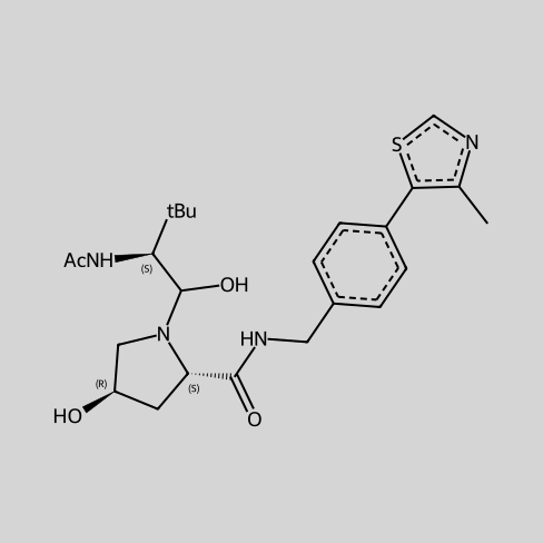 CC(=O)N[C@H](C(O)N1C[C@H](O)C[C@H]1C(=O)NCc1ccc(-c2scnc2C)cc1)C(C)(C)C